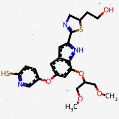 COCC(COC)Oc1cc(Oc2ccc(S)nc2)cc2cc(C3=NCC(CCO)S3)[nH]c12